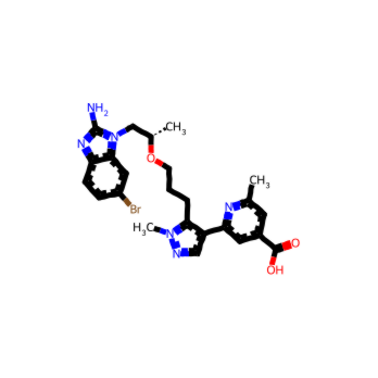 Cc1cc(C(=O)O)cc(-c2cnn(C)c2CCCO[C@@H](C)Cn2c(N)nc3ccc(Br)cc32)n1